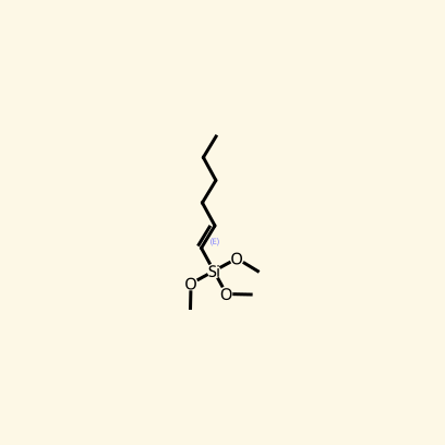 CCCC/C=C/[Si](OC)(OC)OC